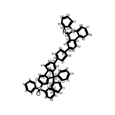 O=P(c1ccccc1)(c1ccccc1)c1ccc2c(c1)C(c1ccccc1)(c1ccccc1)c1cc(-c3ccc(-c4ccc5c6ccccc6n6c7ccccc7nc6c5c4)cc3)ccc1-2